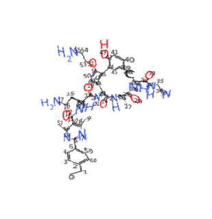 CCc1ccc(-c2nc(C)c(C(=O)N[C@@H](CCN)C(=O)N(C)[C@@H]3C(=O)N[C@@H](C)C(=O)N[C@H](C(=O)NCC#N)Cc4ccc(O)c(c4)-c4cc3ccc4OCCN)c(C)n2)cc1